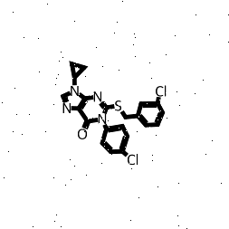 O=c1c2ncn(C3CC3)c2nc(SCc2cccc(Cl)c2)n1-c1ccc(Cl)cc1